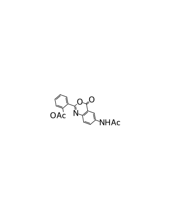 CC(=O)Nc1ccc2nc(-c3ccccc3OC(C)=O)oc(=O)c2c1